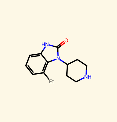 CCc1cccc2[nH]c(=O)n(C3CCNCC3)c12